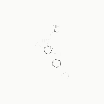 NC(=O)CCNc1nc(Nc2cccc(CN3CCCC3)c2)ncc1C1CC1